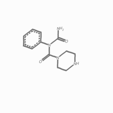 NC(=O)N(C(=O)N1CCNCC1)c1ccccc1